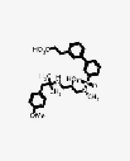 COc1ccc(CC(C)(C)NC[C@@H](O)CN(C)S(=O)(=O)c2cccc(-c3cccc(CCC(=O)O)c3)c2)cc1